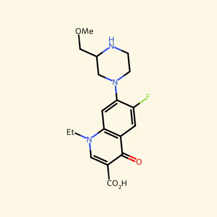 CCn1cc(C(=O)O)c(=O)c2cc(F)c(N3CCNC(COC)C3)cc21